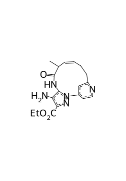 CCOC(=O)c1nn2c(c1N)NC(=O)C(C)C=CCCc1cc-2ccn1